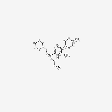 CC(=O)SCCN(CCC1CCCCC1)C(=O)N[C@@H](C)C(=O)N1CCN(C)CC1